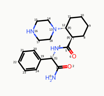 NC(=O)[C@@H](NC(=O)[C@@H]1CCCC[C@H]1N1CCNCC1)c1ccccc1